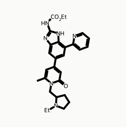 CCOC(=O)Nc1nc2cc(-c3cc(C)n(CC4CCCN4CC)c(=O)c3)cc(-c3ccccn3)c2[nH]1